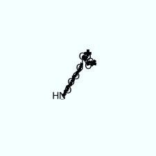 CNCCOCCOCCOCCOCCN(C(=O)OC(C)(C)C)C(=O)OC(C)(C)C